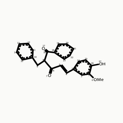 COc1cc(C=CC(=O)C(Cc2ccccc2)C(=O)c2ccccc2)ccc1O